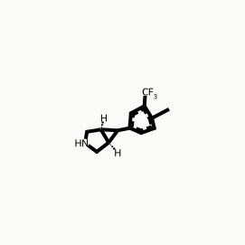 Cc1ccc(C2[C@H]3CNC[C@@H]23)cc1C(F)(F)F